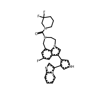 O=C(N1CCn2cc(-c3c[nH]cc3-c3cnc4ccccn34)c3cc(F)cc(c32)C1)N1CCCC(F)(F)C1